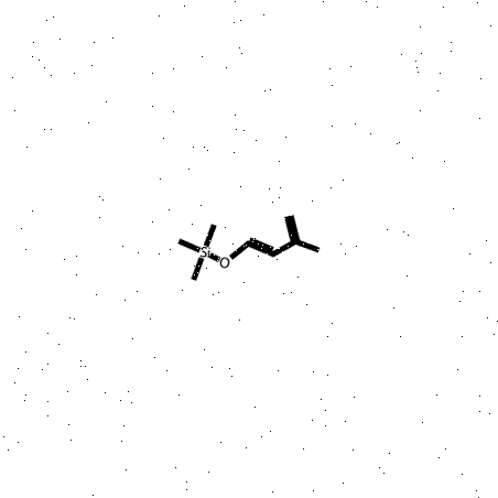 C=C(C)/C=C/O[Si](C)(C)C